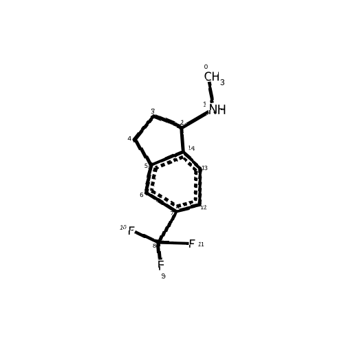 CNC1CCc2cc(C(F)(F)F)ccc21